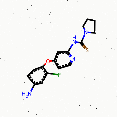 Nc1ccc(Oc2ccnc(NC(=S)N3CCCC3)c2)c(F)c1